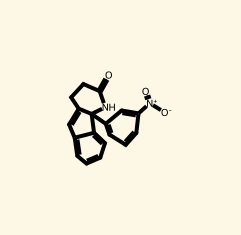 O=C1CCC2=Cc3ccccc3C2(c2cccc([N+](=O)[O-])c2)N1